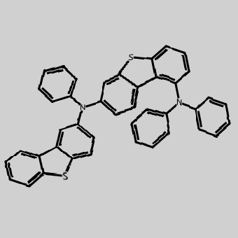 c1ccc(N(c2ccc3c(c2)sc2cccc(N(c4ccccc4)c4ccccc4)c23)c2ccc3sc4ccccc4c3c2)cc1